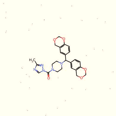 Cc1ncn(C(=O)N2CCN(C(c3ccc4c(c3)COCO4)c3ccc4c(c3)COCO4)CC2)n1